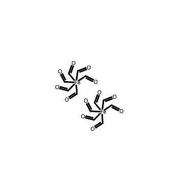 O=[CH][Fe]([CH]=O)([CH]=O)([CH]=O)([CH]=O)[CH]=O.O=[CH][Fe]([CH]=O)([CH]=O)([CH]=O)([CH]=O)[CH]=O